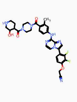 Cc1cc(Nc2nccn3c(-c4ccc(OCC#N)c(F)c4F)cnc23)ccc1C(=O)N1CCN(C(=O)C2CCNCC2O)CC1